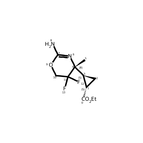 CCOC(=O)[C@H]1C[C@@H]1[C@@]1(C)N=C(N)OCC1(F)F